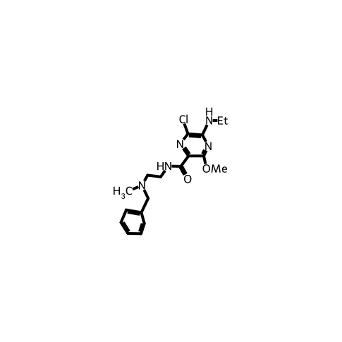 CCNc1nc(OC)c(C(=O)NCCN(C)Cc2ccccc2)nc1Cl